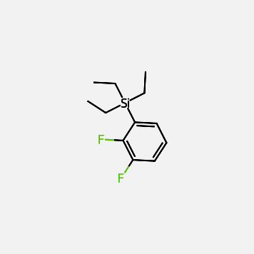 CC[Si](CC)(CC)c1cccc(F)c1F